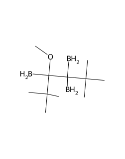 BC(B)(C(C)(C)C)C(B)(OC)C(C)(C)C